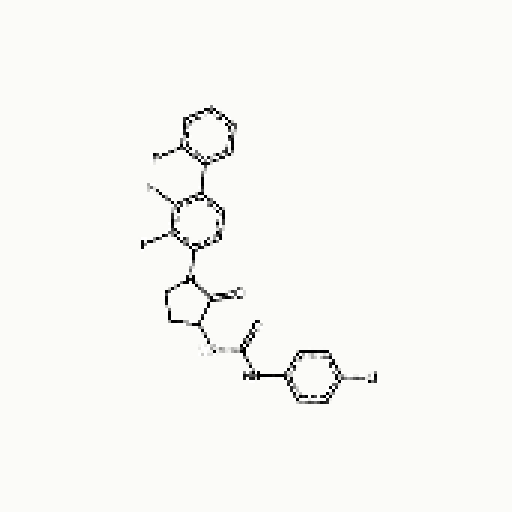 O=C(Nc1ccc(Cl)cc1)NC1CCN(c2ccc(-c3ccccc3F)c(F)c2F)C1=O